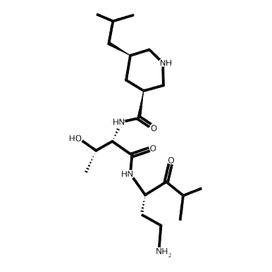 CC(C)C[C@H]1CNC[C@@H](C(=O)N[C@H](C(=O)N[C@@H](CCN)C(=O)C(C)C)[C@H](C)O)C1